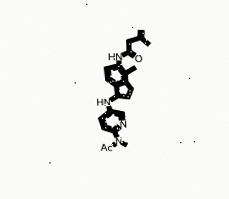 C=C(C)CC(=O)Nc1ccc2c(c1C)CCC2Nc1ccc(N(C)C(C)=O)nc1